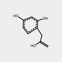 C=C(O)Cc1ccc(O)cc1O